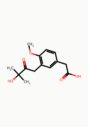 COc1ccc(CC(=O)O)cc1CC(=O)C(C)(C)O